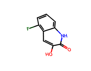 O=c1[nH]c2cccc(F)c2cc1O